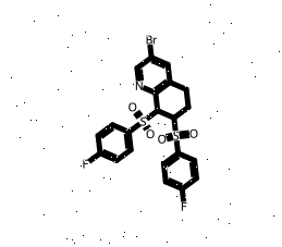 O=S(=O)(c1ccc(F)cc1)C1CCc2cc(Br)cnc2C1S(=O)(=O)c1ccc(F)cc1